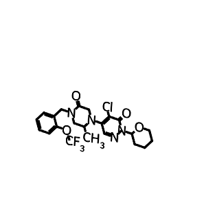 CC1CN(Cc2ccccc2OC(F)(F)F)C(=O)CN1c1cnn(C2CCCCO2)c(=O)c1Cl